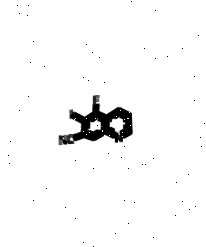 N#Cc1cc2ncccc2c(F)c1I